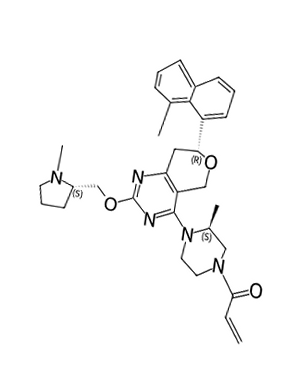 C=CC(=O)N1CCN(c2nc(OC[C@@H]3CCCN3C)nc3c2CO[C@@H](c2cccc4cccc(C)c24)C3)[C@@H](C)C1